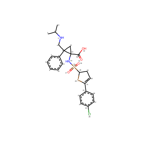 CC(C)NCC1(c2ccccc2)CC1(NS(=O)(=O)C1CC=C(c2ccc(Cl)cc2)S1)C(=O)O